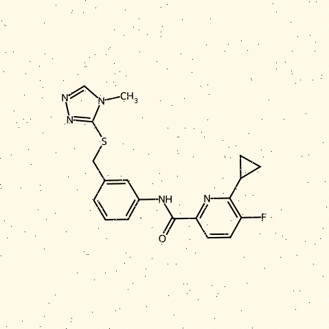 Cn1cnnc1SCc1cccc(NC(=O)c2ccc(F)c(C3CC3)n2)c1